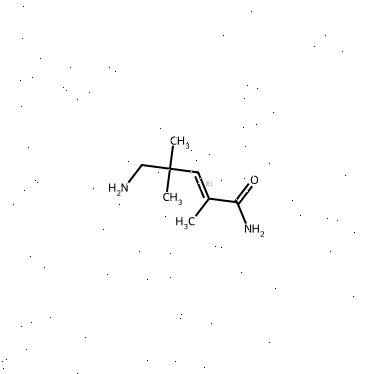 C/C(=C\C(C)(C)CN)C(N)=O